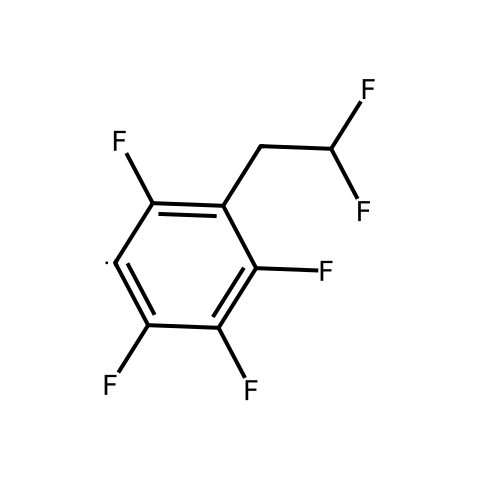 Fc1[c]c(F)c(CC(F)F)c(F)c1F